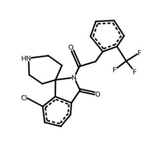 O=C(Cc1ccccc1C(F)(F)F)N1C(=O)c2cccc(Cl)c2C12CCNCC2